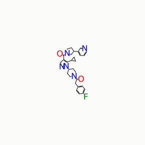 O=C(Cc1ccc(F)cc1)N1CCC(n2ncc(C(=O)N3CCC(c4cccnc4)C3)c2C2CC2)CC1